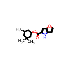 CC1CC(OC(=O)c2cc3occc3[nH]2)CC(C)(C)C1